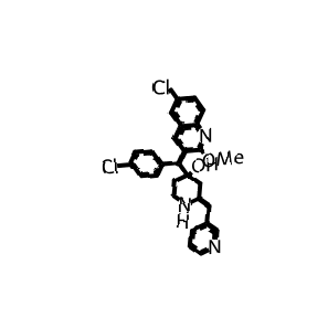 COc1nc2ccc(Cl)cc2cc1C(c1ccc(Cl)cc1)C1(O)CCNC(Cc2cccnc2)C1